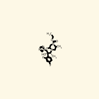 CCOC(=O)N1CC(C)N([C@H](C)[C@](O)(Cn2cncn2)c2ccc(F)cc2F)CC1C